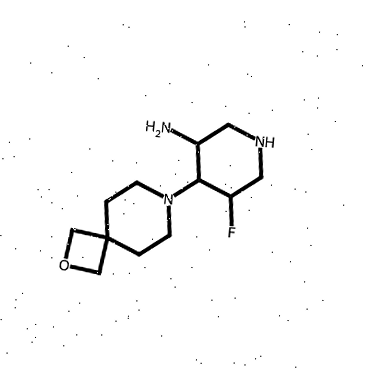 NC1CNCC(F)C1N1CCC2(CC1)COC2